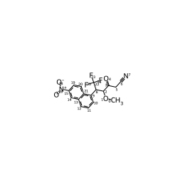 COC(C(=O)CC#N)C(c1cccc2cc([N+](=O)[O-])ccc12)C(F)(F)F